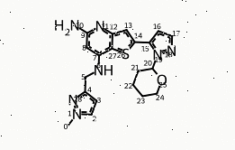 Cn1ccc(CNc2cc(N)nc3cc(-c4ccnn4C4CCCCO4)sc23)n1